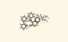 CC(C)(C)c1cccc(-c2cccc(-c3cccc(-c4ccccc4)c3)c2Nc2ccccc2N)c1